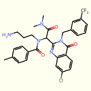 Cc1ccc(C(=O)N(CCCN)C(C(=O)N(C)C)c2nc3cc(Cl)ccc3c(=O)n2Cc2cccc(C(F)(F)F)c2)cc1